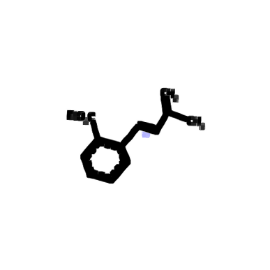 C=C(C)/C=C/c1ccccc1C(=O)OCC